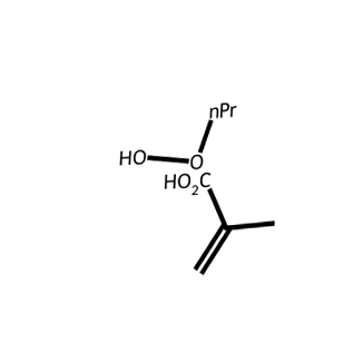 C=C(C)C(=O)O.CCCOO